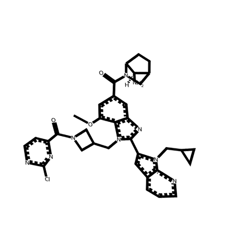 COc1cc(C(=O)N2CC3CCC2[C@@H]3N)cc2nc(-c3cc4cccnc4n3CC3CC3)n(CC3CN(C(=O)c4ccnc(Cl)n4)C3)c12